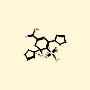 CC(=O)C1=CC(C2C=CCC2)=C(S(=O)(=O)O)C(C)(C2C=CCC2)C1